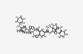 CN1C(=O)[C@@H](NC(=O)c2n[nH]c(Cc3ccccc3)n2)COc2ccc(N3CCC4(CCN(Cc5ccccc5)C4=O)CC3)cc21